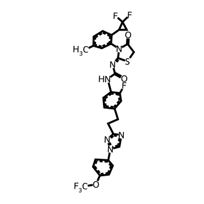 Cc1ccc(C2CC2(F)F)c(N2C(=O)CSC2=NC(=O)Nc2ccc(CCc3ncn(-c4ccc(OC(F)(F)F)cc4)n3)cc2F)c1